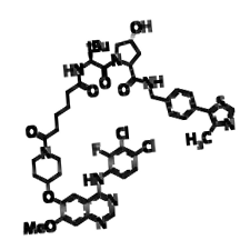 COc1cc2ncnc(Nc3ccc(Cl)c(Cl)c3F)c2cc1OC1CCN(C(=O)CCCCC(=O)N[C@H](C(=O)N2C[C@H](O)CC2C(=O)NCc2ccc(-c3scnc3C)cc2)C(C)(C)C)CC1